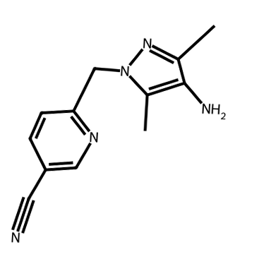 Cc1nn(Cc2ccc(C#N)cn2)c(C)c1N